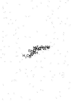 C=CC(=O)N1CCC(Nc2cc3c(Nc4ccc(Oc5ccnc(NC6CCC6)c5)cc4F)ncnc3cc2OCC)CC1